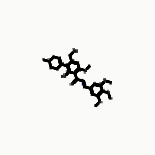 COc1cc(/C=C/C(=O)c2c(OC)cc(CO)c(C3=CCN(C)CC3)c2O)cc(OC)c1OC